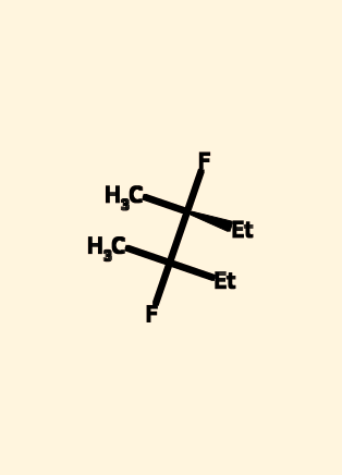 CCC(C)(F)[C@](C)(F)CC